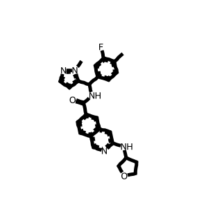 Cc1ccc(C(NC(=O)c2ccc3cnc(NC4CCOC4)cc3c2)c2ccnn2C)cc1F